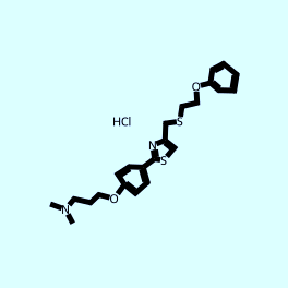 CN(C)CCCOc1ccc(-c2nc(CSCCOc3ccccc3)cs2)cc1.Cl